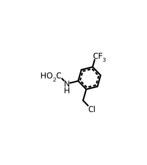 O=C(O)Nc1cc(C(F)(F)F)ccc1CCl